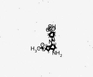 CC(=O)OC1Cc2c(N)ccc(N=Nc3ccc(S(=O)(=O)O)cc3)c2C1